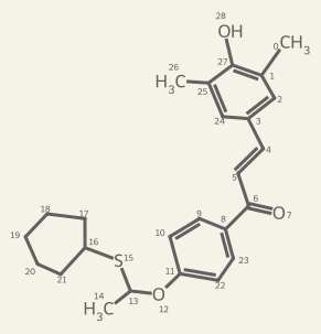 Cc1cc(/C=C/C(=O)c2ccc(OC(C)SC3CCCCC3)cc2)cc(C)c1O